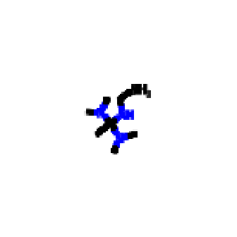 CN(C)C(C)(NC[SiH3])N(C)C